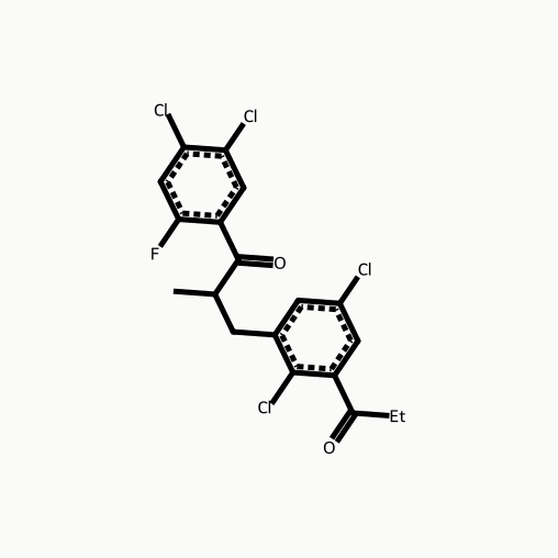 CCC(=O)c1cc(Cl)cc(CC(C)C(=O)c2cc(Cl)c(Cl)cc2F)c1Cl